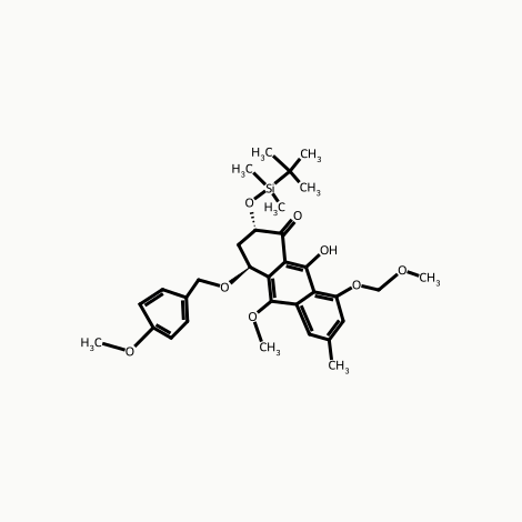 COCOc1cc(C)cc2c(OC)c3c(c(O)c12)C(=O)[C@@H](O[Si](C)(C)C(C)(C)C)C[C@@H]3OCc1ccc(OC)cc1